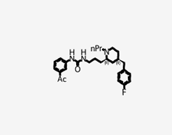 CCCN1CC[C@@H](Cc2ccc(F)cc2)C[C@H]1CCCNC(=O)Nc1cccc(C(C)=O)c1